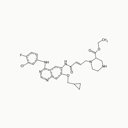 CCOC(=O)C1CNCCN1CC=CC(=O)Nc1cc2c(Nc3ccc(F)c(Cl)c3)ncnc2cc1OCC1CC1